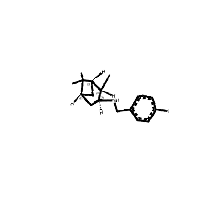 C[C@@H]1[C@@H](NCc2ccc(I)cc2)C[C@H]2C[C@@H]1C2(C)C